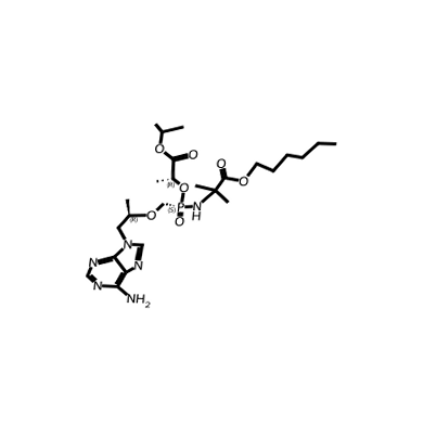 CCCCCCOC(=O)C(C)(C)N[P@](=O)(CO[C@H](C)Cn1cnc2c(N)ncnc21)O[C@H](C)C(=O)OC(C)C